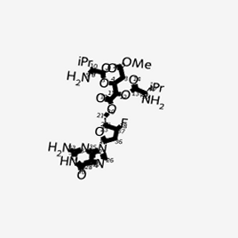 COC(=O)CC(OC(=O)[C@@H](N)C(C)C)C(OC(=O)[C@@H](N)C(C)C)C(=O)OC[C@H]1O[C@@H](n2cnc3c(=O)[nH]c(N)nc32)CC1F